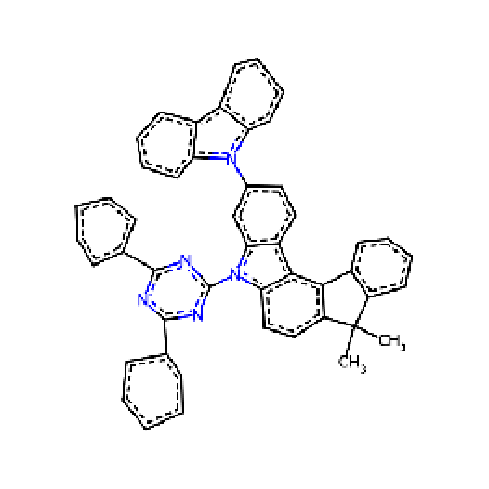 CC1(C)c2ccccc2-c2c1ccc1c2c2ccc(-n3c4ccccc4c4ccccc43)cc2n1-c1nc(-c2ccccc2)nc(-c2ccccc2)n1